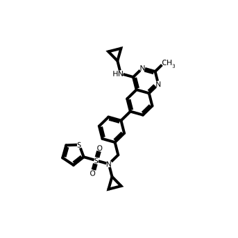 Cc1nc(NC2CC2)c2cc(-c3cccc(CN(C4CC4)S(=O)(=O)c4cccs4)c3)ccc2n1